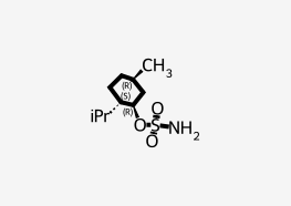 CC(C)[C@@H]1CC[C@@H](C)C[C@H]1OS(N)(=O)=O